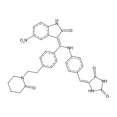 O=C1NC(=O)/C(=C\c2ccc(N/C(=C3\C(=O)Nc4ccc([N+](=O)[O-])cc43)c3ccc(CCN4CCCCC4=O)cc3)cc2)N1